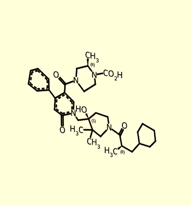 C[C@H](CC1CCCCC1)C(=O)N1CC[C@@](O)(Cn2cc(C(=O)N3CCN(C(=O)O)[C@H](C)C3)c(-c3ccccc3)cc2=O)C(C)(C)C1